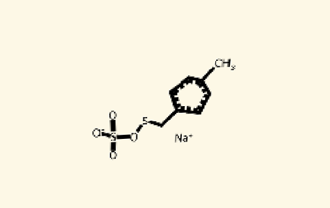 Cc1ccc(CSOS(=O)(=O)[O-])cc1.[Na+]